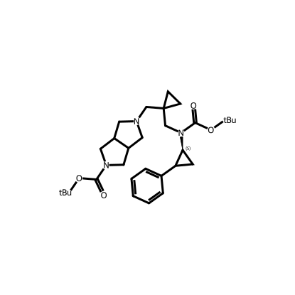 CC(C)(C)OC(=O)N1CC2CN(CC3(CN(C(=O)OC(C)(C)C)[C@H]4CC4c4ccccc4)CC3)CC2C1